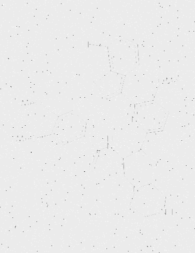 COc1ccc(C(=O)NC(CN2CCNCC2)C(=O)c2ccc(OC)c(-c3csc4c(F)cccc34)n2)cc1OC